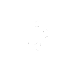 C[S+]([O-])Cc1cc2cc(c1)Nc1ncc(F)c(n1)-c1ccc(F)cc1OCCCCN2